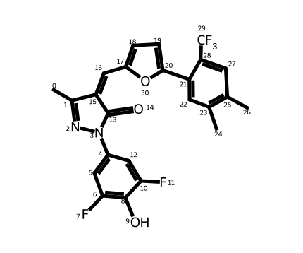 CC1=NN(c2cc(F)c(O)c(F)c2)C(=O)C1=Cc1ccc(-c2cc(C)c(C)cc2C(F)(F)F)o1